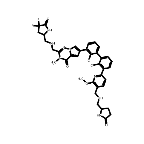 COc1nc(-c2cccc(-c3cccc(-c4cc5c(=O)n(C)c(CNCC6CC(F)(F)C(=O)N6)nn5c4)c3Cl)c2Cl)ccc1CNCC1CCC(=O)N1